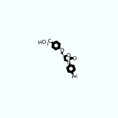 CC(=O)c1ccc(N2C[C@H](COc3ccc(C(=O)O)cc3)OC2=O)cc1